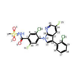 CS(=O)(=O)NC(=O)c1cc(Cl)c(-n2cc(-c3ccccc3Cl)c3cc(F)cnc32)cc1F